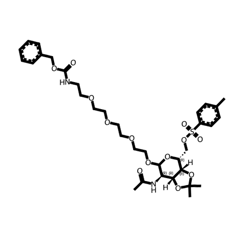 CC(=O)N[C@H]1C(OCCOCCOCCOCCNC(=O)OCc2ccccc2)O[C@H](COS(=O)(=O)c2ccc(C)cc2)[C@@H]2OC(C)(C)O[C@@H]21